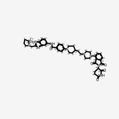 C[C@H]1CCCN1Cc1nc2cc(NC(=O)c3ccc(N4CCC(CCN5CCN(c6cccc7c6C(=O)N(C6CCC(=O)NC6=O)C7=O)CC5)CC4)cc3)ccc2[nH]1